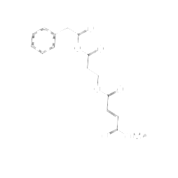 COC(=O)/C=C/C(=O)OCCC(=O)OC(=O)Cc1ccccc1